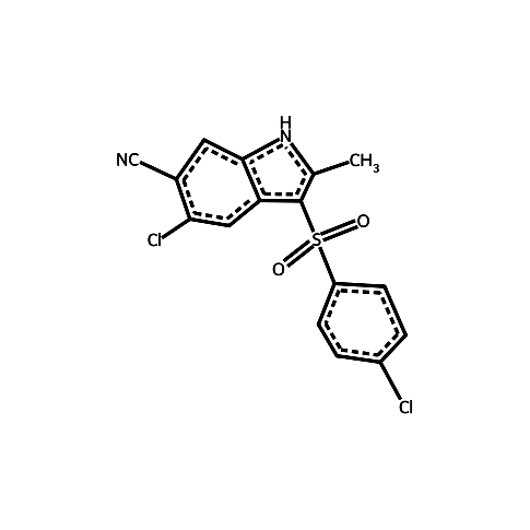 Cc1[nH]c2cc(C#N)c(Cl)cc2c1S(=O)(=O)c1ccc(Cl)cc1